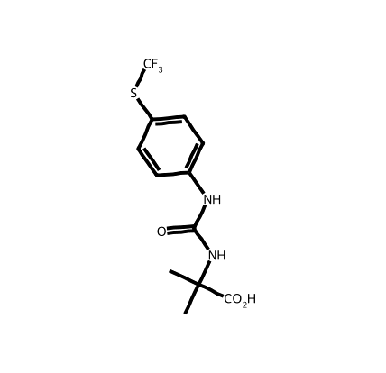 CC(C)(NC(=O)Nc1ccc(SC(F)(F)F)cc1)C(=O)O